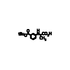 CC(Nc1cccc(C(=O)OC(C)(C)C)c1)C(=O)O